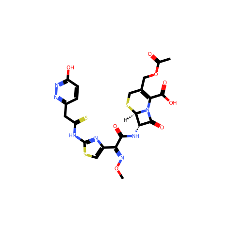 CON=C(C(=O)N[C@H]1C(=O)N2C(C(=O)O)=C(COC(C)=O)CS[C@H]12)c1csc(NC(=S)Cc2ccc(O)nn2)n1